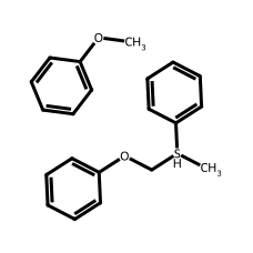 COc1ccccc1.C[SH](COc1ccccc1)c1ccccc1